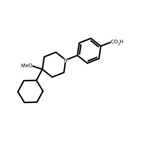 COC1(C2CCCCC2)CCN(c2ccc(C(=O)O)cc2)CC1